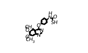 COc1cc2ncnc(Oc3ccc(NC(=O)S)cc3)c2cc1OC